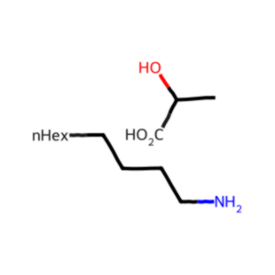 CC(O)C(=O)O.CCCCCCCCCCN